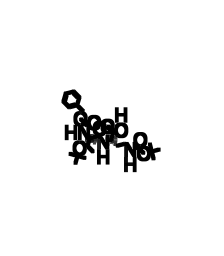 CC(OC(C)(C)C)[C@H](NC(=O)OCc1ccccc1)C(=O)N[C@@H](CCNC(=O)OC(C)(C)C)C(=O)O